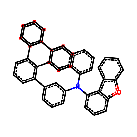 c1ccc(-c2ccccc2-c2c(-c3ccccc3)cccc2-c2cccc(N(c3cccc4ccccc34)c3cccc4oc5ccccc5c34)c2)cc1